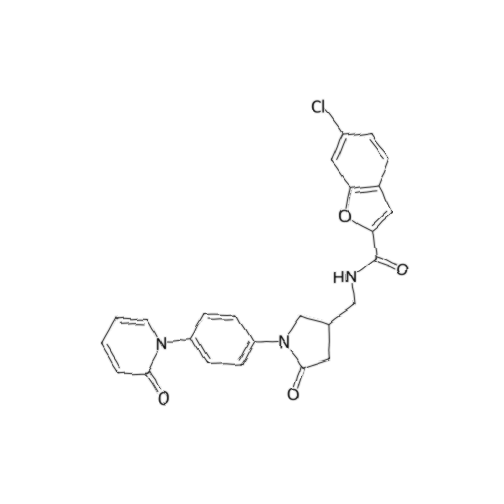 O=C(NCC1CC(=O)N(c2ccc(-n3ccccc3=O)cc2)C1)c1cc2ccc(Cl)cc2o1